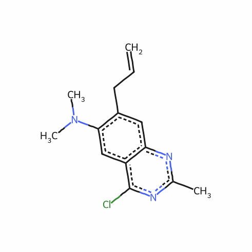 C=CCc1cc2nc(C)nc(Cl)c2cc1N(C)C